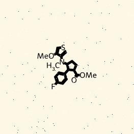 COC(=O)C1CCC(N(C)c2cscc2OC)C1c1ccc(F)cc1